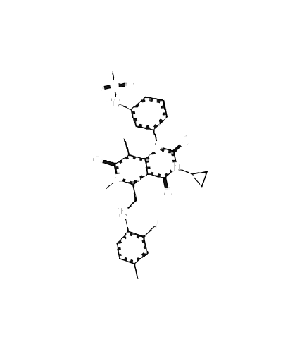 Cc1ccc(NCc2c3c(=O)n(C4CC4)c(=O)n(-c4cccc(NS(C)(=O)=O)c4)c3c(C)c(=O)n2C)c(I)c1